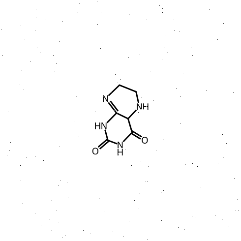 O=C1NC(=O)C2NCCN=C2N1